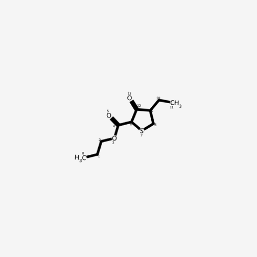 CCCOC(=O)C1SCC(CC)C1=O